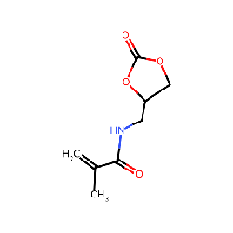 C=C(C)C(=O)NCC1COC(=O)O1